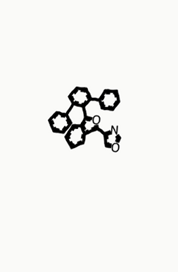 c1ccc(-c2cccc(-c3ccccc3)c2-c2oc(-c3cocn3)c3ccccc23)cc1